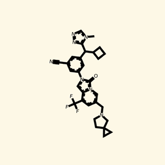 Cn1cnnc1C(c1cc(C#N)cc(-n2cc3c(C(F)(F)F)cc(CN4CCC5(CC5)C4)cn3c2=O)c1)C1CCC1